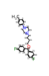 Cc1ccc(N2CCN(CCCCOC(c3ccc(F)cc3)c3ccc(F)cc3)CC2)cc1